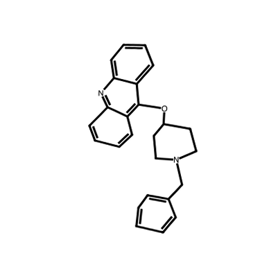 c1ccc(CN2CCC(Oc3c4ccccc4nc4ccccc34)CC2)cc1